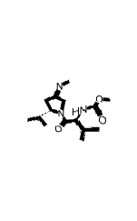 CN=C1C[C@@H](C(C)C)N(C(=O)[C@@H](NC(=O)OC)C(C)C)C1